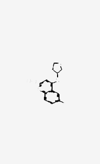 Cc1ccc2nccc(NC3CCNC3)c2c1.Cl